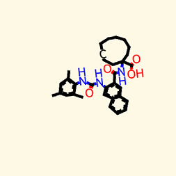 Cc1cc(C)c(NC(=O)Nc2cc3ccccc3cc2C(=O)NC2(C(=O)O)CCCCCCCCC2)c(C)c1